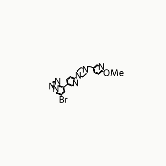 COc1ccc(CN2CCN(c3ccc(-c4cc(Br)cn5ncnc45)cn3)CC2)cn1